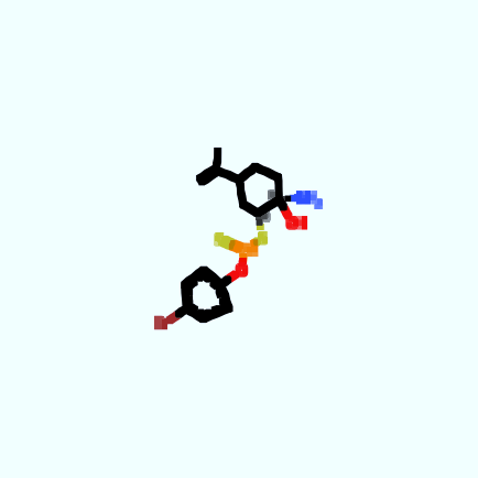 C=C(C)C1CC[C@@](N)(O)[C@H](S[PH](=S)Oc2ccc(Br)cc2)C1